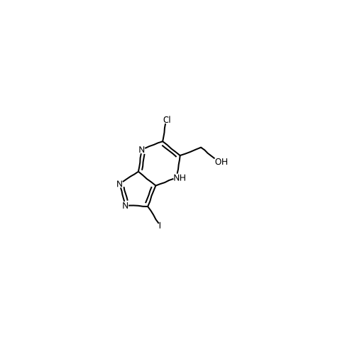 OCc1[nH]c2c(I)nnc-2nc1Cl